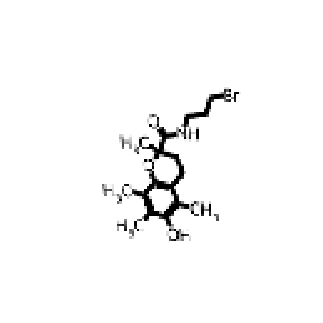 Cc1c(C)c2c(c(C)c1O)CCC(C)(C(=O)NCCCBr)O2